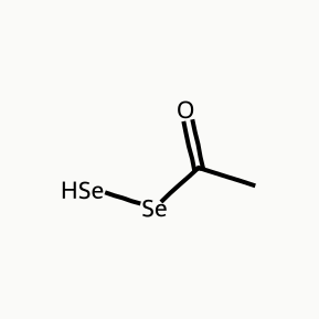 CC(=O)[Se][SeH]